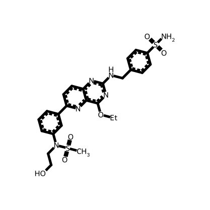 CCOc1nc(NCc2ccc(S(N)(=O)=O)cc2)nc2ccc(-c3cccc(N(CCO)S(C)(=O)=O)c3)nc12